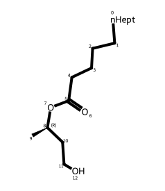 CCCCCCCCCCCC(=O)O[C@H](C)CCO